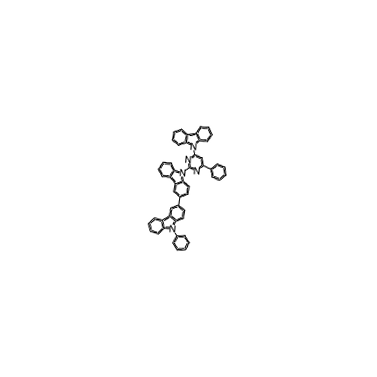 c1ccc(-c2cc(-n3c4ccccc4c4ccccc43)nc(-n3c4ccccc4c4cc(-c5ccc6c(c5)c5ccccc5n6-c5ccccc5)ccc43)n2)cc1